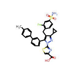 Cc1ccc(-c2cccc(-c3c(Cc4ccc(S(N)(=O)=O)cc4F)c(C4CC4)nn3-c3nc(C(=O)O)cs3)c2)cc1